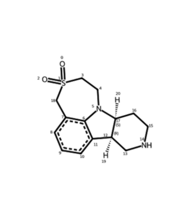 O=S1(=O)CCN2c3c(cccc3[C@@H]3CNCC[C@@H]32)C1